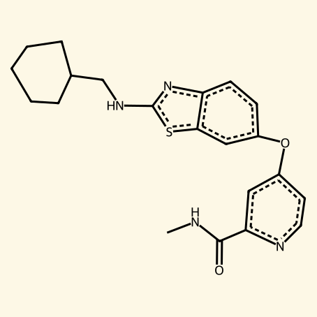 CNC(=O)c1cc(Oc2ccc3nc(NCC4CCCCC4)sc3c2)ccn1